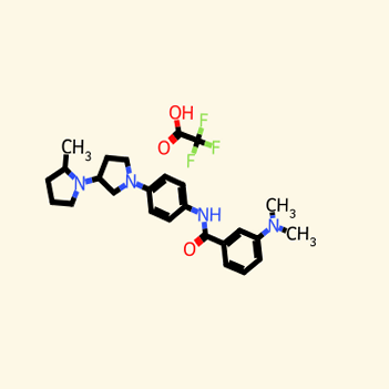 CC1CCCN1C1CCN(c2ccc(NC(=O)c3cccc(N(C)C)c3)cc2)C1.O=C(O)C(F)(F)F